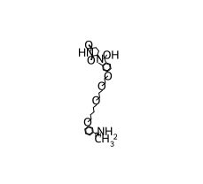 C[C@@H](N)c1cccc(OCCCCCOCCCOCCOc2ccc3c(c2)CN(C2CCC(=O)NC2=O)C3O)c1